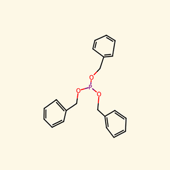 c1ccc(COP(OCc2ccccc2)OCc2ccccc2)cc1